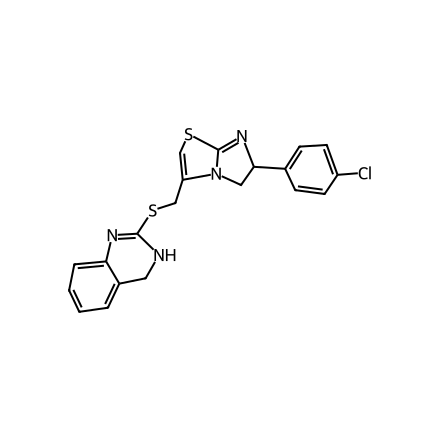 Clc1ccc(C2CN3C(CSC4=Nc5ccccc5CN4)=CSC3=N2)cc1